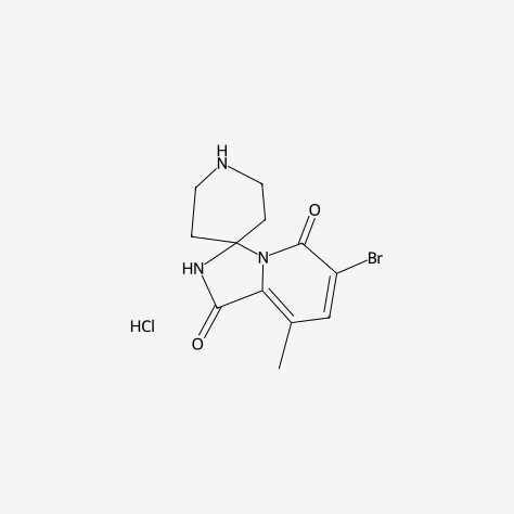 Cc1cc(Br)c(=O)n2c1C(=O)NC21CCNCC1.Cl